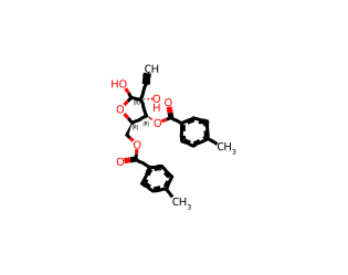 C#C[C@]1(O)C(O)O[C@H](COC(=O)c2ccc(C)cc2)[C@H]1OC(=O)c1ccc(C)cc1